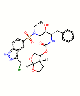 CC(C)CN(C[C@@H](O)[C@H](Cc1ccccc1)NC(=O)OC1CO[C@H]2OCC[C@@H]12)S(=O)(=O)c1ccc2[nH]nc(CBr)c2c1